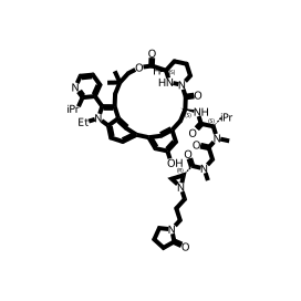 CCn1c(-c2cccnc2C(C)C)c2c3cc(ccc31)-c1cc(O)cc(c1)C[C@H](NC(=O)[C@H](C(C)C)N(C)C(=O)CN(C)C(=O)[C@H]1CN1CCCN1CCCC1=O)C(=O)N1CCC[C@H](N1)C(=O)OCC(C)(C)C2